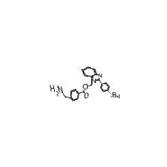 CC(C)(C)c1ccc(-c2nc3ccccc3n2COC(=O)c2ccc(CN)cc2)cc1